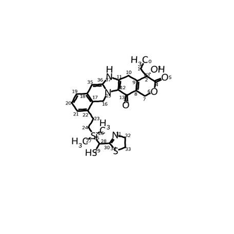 CC[C@@]1(O)C(=O)OCC2=C1CC1=C(C2=O)N2Cc3c(cccc3CC[Si](C)(C)C(S)C3=NCCS3)C=C2N1